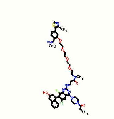 C=CC(=O)N1CCN(c2nc(NCCC(=O)N(C)CCOCCOCCOCCOc3cc(-c4scnc4C)ccc3CNC=O)nc3c(F)c(-c4cc(O)cc5ccccc45)c(Cl)cc23)CC1